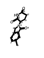 Cc1ccc2c(c1)C(=O)N(C1CCC(=O)NC1=O)C2